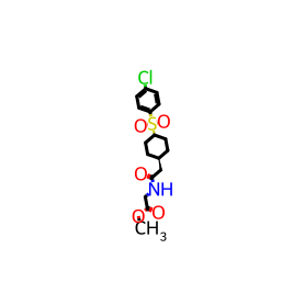 COC(=O)CNC(=O)C[C@H]1CC[C@@H](S(=O)(=O)c2ccc(Cl)cc2)CC1